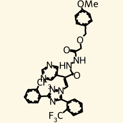 COc1ccc(COCC(=O)NNC(=O)/C(=C/n2nc(-c3ccccc3C(F)(F)F)nc2-c2ccccc2C(F)(F)F)c2cncnc2)cc1